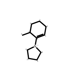 CC1CCCC=C1N1CCCC1